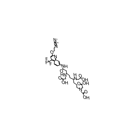 [N-]=[N+]=NCCOc1cc(C(F)(F)F)c2ccc(NC(=O)CC(CCC(CCCN(CC(=O)O)CC(=O)O)NCC(=O)O)NCC(=O)O)cc2n1